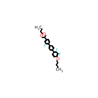 CCCCCOc1ccc(-c2ccc(-c3ccc(C4COC(CCC)OC4)cc3F)cc2)c(F)c1F